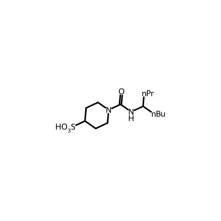 CCCCC(CCC)NC(=O)N1CCC(S(=O)(=O)O)CC1